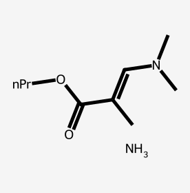 CCCOC(=O)C(C)=CN(C)C.N